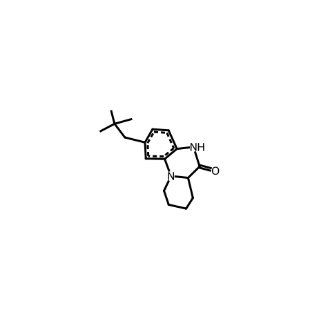 CC(C)(C)Cc1ccc2c(c1)N1CCCCC1C(=O)N2